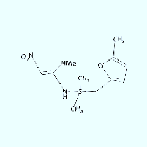 CN/C(=C\[N+](=O)[O-])NS(C)(C)Cc1ccc(C)o1